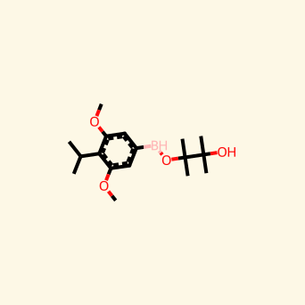 COc1cc(BOC(C)(C)C(C)(C)O)cc(OC)c1C(C)C